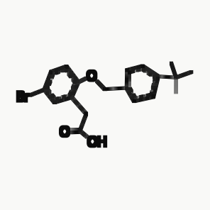 CC(C)(C)c1ccc(COc2ccc(Br)cc2CC(=O)O)cc1